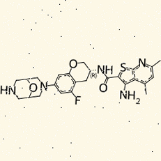 Cc1cc(C)c2c(N)c(C(=O)N[C@H]3COc4cc(N5CC6CNCC(C5)O6)cc(F)c4C3)sc2n1